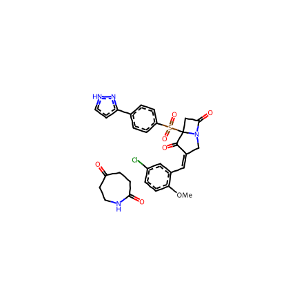 COc1ccc(Cl)cc1C=C1CN2C(=O)CC2(S(=O)(=O)c2ccc(-c3cc[nH]n3)cc2)C1=O.O=C1CCNC(=O)CC1